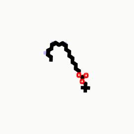 CC/C=C\C/C=C\C/C=C\CCCCCCCCOC(=O)OCC(C)(C)C